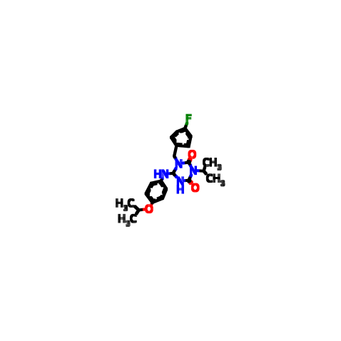 CC(C)Oc1ccc(NC2NC(=O)N(C(C)C)C(=O)N2Cc2ccc(F)cc2)cc1